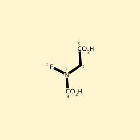 O=C(O)CN(F)C(=O)O